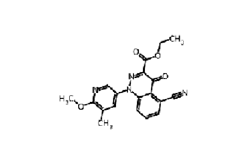 CCOC(=O)c1nn(-c2cnc(OC)c(C)c2)c2cccc(C#N)c2c1=O